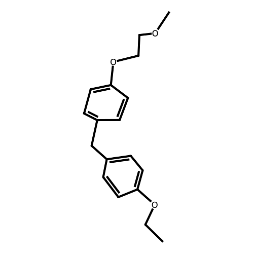 CCOc1ccc(Cc2ccc(OCCOC)cc2)cc1